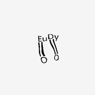 [O]=[Dy].[O]=[Eu]